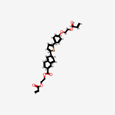 C=CC(=O)OCCOC(=O)c1ccc2cc(-c3ccc(-c4ccc(OCCOC(=O)C=C)cc4)s3)ccc2c1